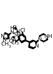 Cc1c(N[SH](=O)(N=O)c2c(Cl)cc(-c3ccnc(N4CCNCC4)c3)cc2Cl)cnn1C